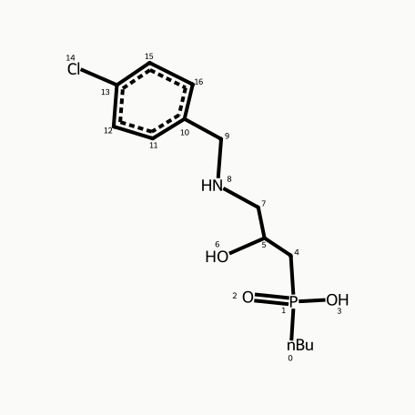 CCCCP(=O)(O)CC(O)CNCc1ccc(Cl)cc1